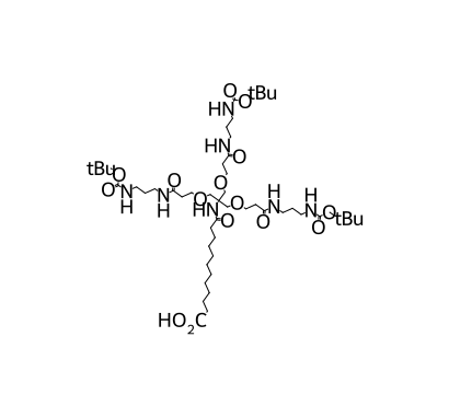 CC(C)(C)OC(=O)NCCCNC(=O)CCOCC(COCCC(=O)NCCCNC(=O)OC(C)(C)C)(COCCC(=O)NCCCNC(=O)OC(C)(C)C)NC(=O)CCCCCCCCCCC(=O)O